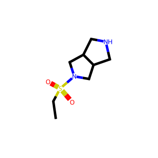 CCS(=O)(=O)N1CC2CNCC2C1